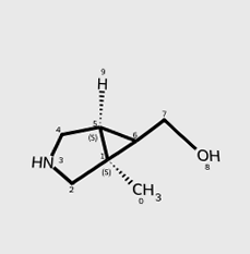 C[C@]12CNC[C@H]1C2CO